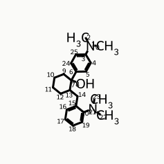 CN(C)c1ccc(C2(O)CCCCC2Cc2ccccc2N(C)C)cc1